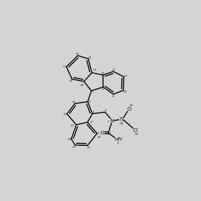 CCCC(=O)[N](Cc1c(C2c3ccccc3-c3ccccc32)ccc2ccccc12)[Ti]([Cl])[Cl]